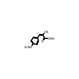 COC(=O)C(C#N)=Cc1ccc(NC(C)=O)cc1